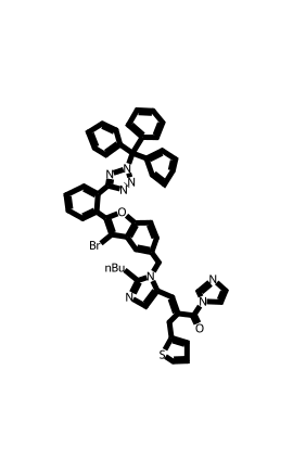 CCCCc1ncc(/C=C(\Cc2cccs2)C(=O)n2ccnc2)n1Cc1ccc2oc(-c3ccccc3-c3nnn(C(c4ccccc4)(c4ccccc4)c4ccccc4)n3)c(Br)c2c1